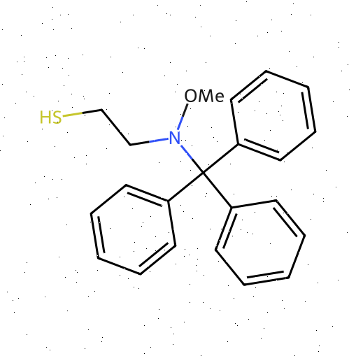 CON(CCS)C(c1ccccc1)(c1ccccc1)c1ccccc1